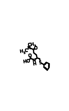 CN(C)C(=O)CCC(CSc1ccccc1)NC(=O)O